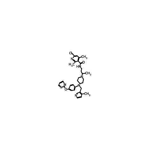 Cc1ccncc1CN(c1ccc(Oc2ncccn2)cc1)C1CCN(C(C)CCNC(=O)c2c(C)cc(Cl)nc2C)CC1